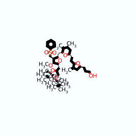 C=C1C[C@H](CCCO)OC1CC[C@H]1C[C@@H](C)C(=C)[C@@H](C[C@@H]2O[C@H](CC(CO[Si](C)(C)C(C)(C)C)O[Si](C)(C)C(C)(C)C)[C@H](OC)[C@H]2CS(=O)(=O)c2ccccc2)O1